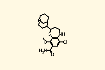 COc1c(C(N)=O)cc(Cl)c2c1SC(C1CCN3CCCC1C3)CCN2